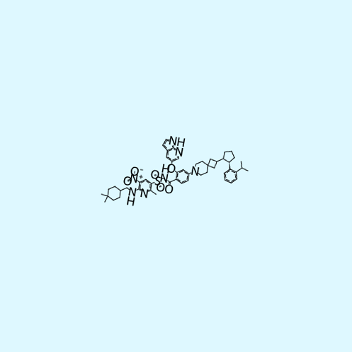 Cc1nc(NCC2CCC(C)(C)CC2)c([N+](=O)[O-])cc1S(=O)(=O)NC(=O)c1ccc(N2CCC3(CC2)CC(C2CCC[C@H]2c2ccccc2C(C)C)C3)cc1Oc1cnc2[nH]ccc2c1